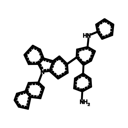 Nc1ccc(-c2ccc(Nc3ccccc3)cc2-c2ccc3c(c2)c2ccccc2n3-c2ccc3ccccc3c2)cc1